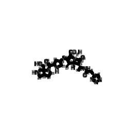 CC(NC(=O)Cn1cnnn1)[C@H]1C(=O)N2C(C(=O)O)=C(SC3CNC(C(=O)N4CCC5CNCC54CO)C3)[C@H](C)[C@H]12